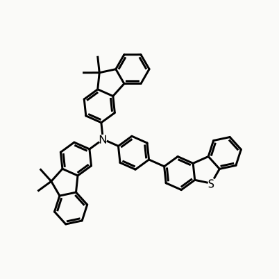 CC1(C)c2ccccc2-c2cc(N(c3ccc(-c4ccc5sc6ccccc6c5c4)cc3)c3ccc4c(c3)-c3ccccc3C4(C)C)ccc21